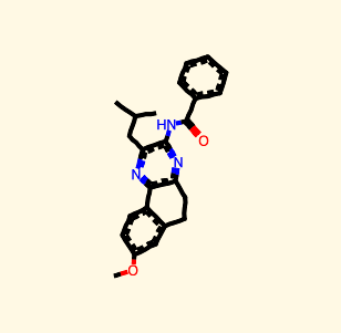 COc1ccc2c(c1)CCc1nc(NC(=O)c3ccccc3)c(CC(C)C)nc1-2